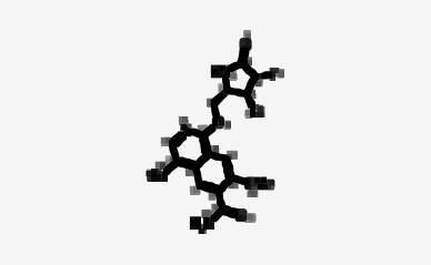 CC[C@@H]1[C@H](F)C(=O)N[C@@H]1COc1ncc(C(C)(C)C)c2cc(C(N)=O)c(OC)cc12